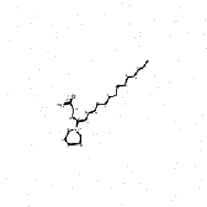 CCCCCCCCCCCCCCC(CCC(=O)O)N1CCCCC1